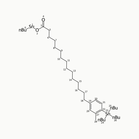 CCC[CH2][Sn][O]C(=O)CCCCCCCCCCCCCCc1cc[c]([Sn]([CH2]CCC)([CH2]CCC)[CH2]CCC)c(C)c1